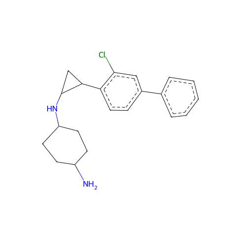 NC1CCC(NC2CC2c2ccc(-c3ccccc3)cc2Cl)CC1